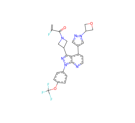 C=C(F)C(=O)N1CC(c2nn(-c3ccc(OC(F)(F)F)cc3)c3nccc(-c4cnn(C5COC5)c4)c23)C1